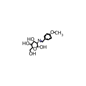 COc1ccc(/C=N/C2C(O)[C@H](O)C(CO)O[C@H]2O)cc1